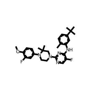 COc1ccc(N2CCN(c3ncc(F)c(Nc4cc(C(C)(C)C)ccc4C)n3)CC2(C)C)cc1F